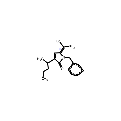 B/C(Br)=C1/C=C(C(C)CCC)C(=O)N1Cc1ccccc1